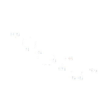 Cn1nc(C(C)(C)C)cc1NC(O)N1CCCN(C2CC=C(N)C=N2)CC1